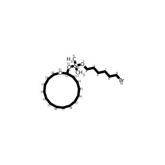 C[Si](C)(OCCCCCCBr)OC1CCCCCCCCCCCCCCO1